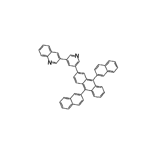 c1ccc2cc(-c3c4ccccc4c(-c4ccc5ccccc5c4)c4cc(-c5cncc(-c6cnc7ccccc7c6)c5)ccc34)ccc2c1